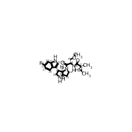 CN[C@@H](C)C(=O)N[C@@H](COC)C(=O)N1CC[C@H]2NC[C@H](c3c[nH]c4cc(F)ccc34)[C@H]21